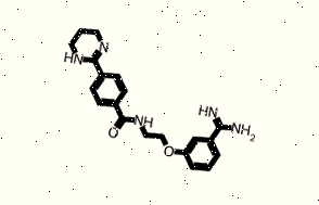 N=C(N)c1cccc(OCCNC(=O)c2ccc(C3=NCCCN3)cc2)c1